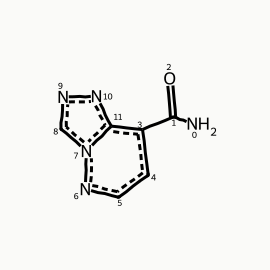 NC(=O)c1ccnn2cnnc12